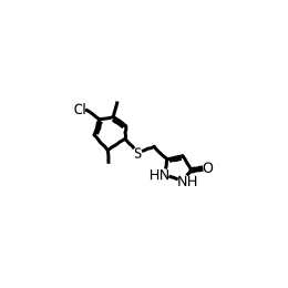 CC1=CC(SCc2cc(=O)[nH][nH]2)C(C)C=C1Cl